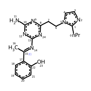 CCCc1nccn1CCc1nc(N)nc(/N=C(\C)c2ccccc2O)n1